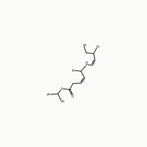 CCC(/C=C\PC(/C=C\CC(=O)OC(C(C)C)C(C)C)CC)CC(C)C